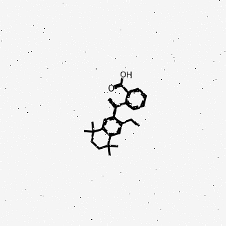 C=C(c1cc2c(cc1CC)C(C)(C)CCC2(C)C)c1ccccc1C(=O)O